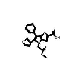 COC(=O)Cn1c(-c2ccoc2)c(-c2ccccc2)c2sc(C(=O)O)cc21